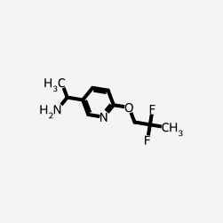 CC(N)c1ccc(OCC(C)(F)F)nc1